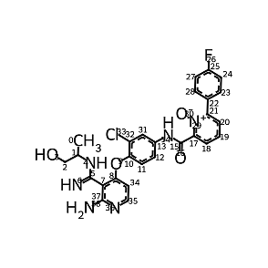 CC(CO)NC(=N)c1c(Oc2ccc(NC(=O)c3cccc(-c4ccc(F)cc4)[n+]3[O-])cc2Cl)ccnc1N